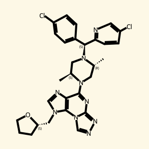 C[C@@H]1CN(c2nc3nncn3c3c2ncn3C[C@@H]2CCCO2)[C@@H](C)CN1[C@@H](c1ccc(Cl)cc1)c1ccc(Cl)cn1